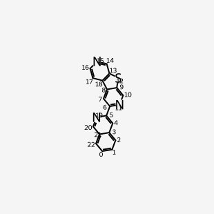 c1ccc2cc(-c3cc4c(cn3)sc3cnccc34)ncc2c1